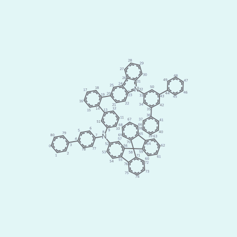 c1ccc(-c2ccc(N(c3cccc(-c4ccccc4-c4ccc5c(c4)c4ccccc4n5-c4cc(-c5ccccc5)cc(-c5ccccc5)c4)c3)c3ccc4c(c3)C3(c5ccccc5-c5ccccc53)c3ccccc3-4)cc2)cc1